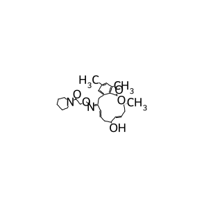 Cc1cc(C)c2c(c1)CC(=NOCC(=O)N1CCCCC1)/C=C/C[C@H](O)/C=C/C[C@@H](C)OC2=O